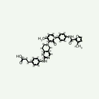 Cc1ccoc1C(=O)Nc1ccc(-n2ccc(C)c(N3CCc4nc(Nc5ccc(CCC(=O)O)cc5)ncc4C3)c2=O)cc1